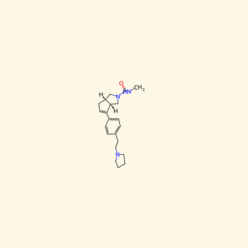 CNC(=O)N1C[C@H]2CC=C(c3ccc(CCN4CCCC4)cc3)[C@H]2C1